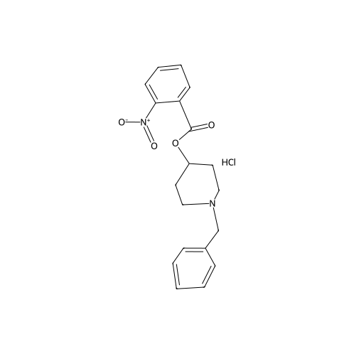 Cl.O=C(OC1CCN(Cc2ccccc2)CC1)c1ccccc1[N+](=O)[O-]